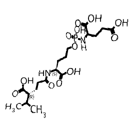 CC(C)[C@@H](CCC(=O)N[C@@H](CCCOP(=O)(O)NC(CCC(=O)O)C(=O)O)C(=O)O)C(=O)O